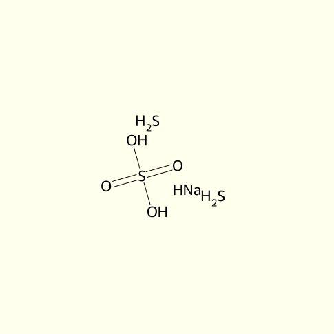 O=S(=O)(O)O.S.S.[NaH]